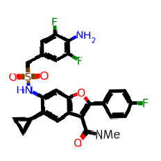 CNC(=O)c1c(-c2ccc(F)cc2)oc2cc(NS(=O)(=O)Cc3cc(F)c(N)c(F)c3)c(C3CC3)cc12